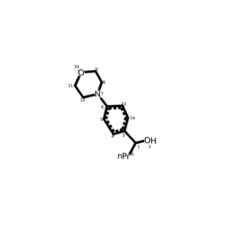 CCCC(O)c1ccc(N2CCOCC2)cc1